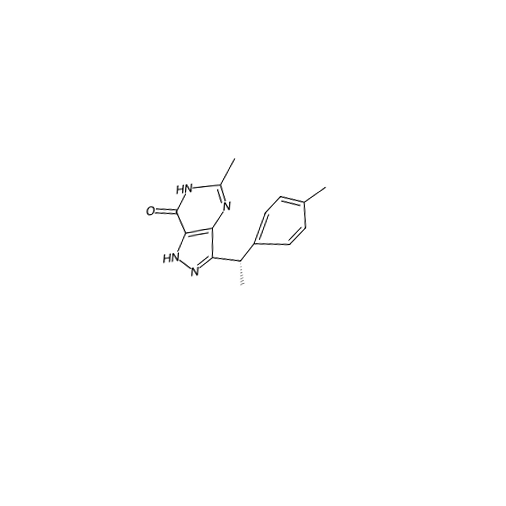 Cc1ccc([C@H](C)c2n[nH]c3c(=O)[nH]c(C)nc23)cc1